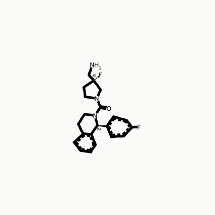 NC[C@]1(F)CCN(C(=O)N2CCc3ccccc3[C@@H]2c2ccc(F)cc2)C1